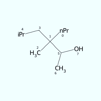 CCCC(C)(CC(C)C)C(C)O